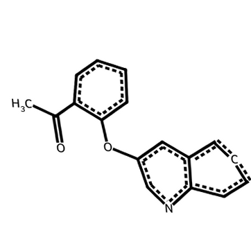 CC(=O)c1ccccc1Oc1cnc2ccccc2c1